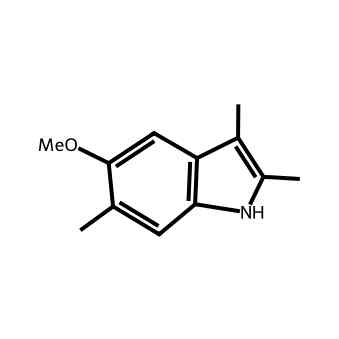 COc1cc2c(C)c(C)[nH]c2cc1C